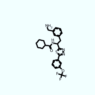 NCc1cccc(CC(NC(=O)C2CCCCC2)c2nnc(-c3cccc(OC(F)(F)F)c3)s2)c1